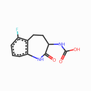 O=C(O)NC1CCc2c(F)cccc2NC1=O